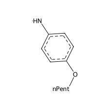 CCCCCOc1ccc([NH])cc1